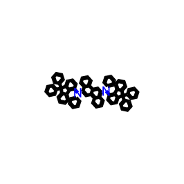 c1ccc(N(c2cccc3c2-c2ccccc2C3(c2ccccc2)c2ccccc2)c2cc3c4ccccc4c(N(c4ccccc4)c4cccc5c4-c4ccccc4C5(c4ccccc4)c4ccccc4)cc3c3ccccc23)cc1